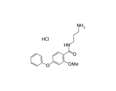 COc1cc(Oc2ccccc2)ccc1C(=O)NCCCN.Cl